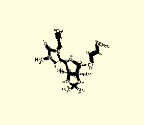 C#CCN1C(=O)N(C)C[C@H]1[C@H]1O[C@H](OCCCCCCCCCCCC)[C@H]2OC(C)(C)O[C@H]21